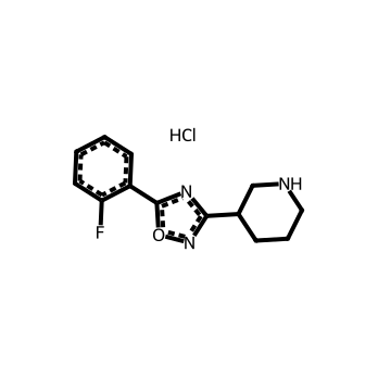 Cl.Fc1ccccc1-c1nc(C2CCCNC2)no1